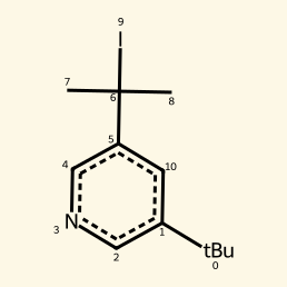 CC(C)(C)c1cncc(C(C)(C)I)c1